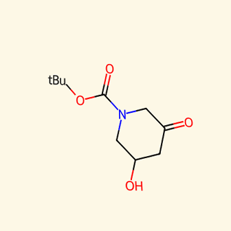 CC(C)(C)OC(=O)N1CC(=O)CC(O)C1